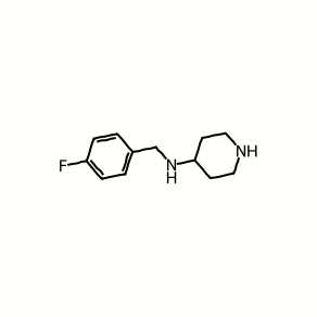 Fc1ccc(CNC2CCNCC2)cc1